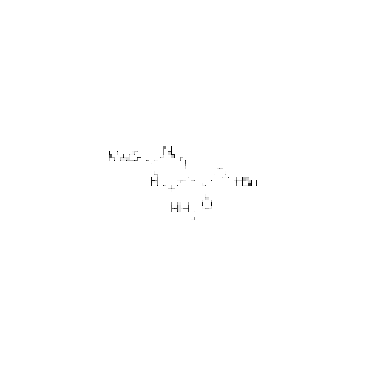 CSc1ncc(C(=O)OC(C)(C)C)c(N)n1